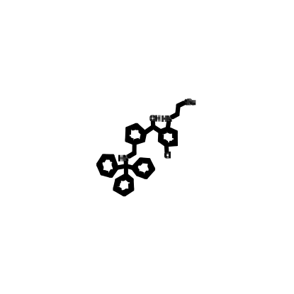 CC(C)(C)CCNc1ccc(Cl)cc1C(O)c1cccc(CNC(c2ccccc2)(c2ccccc2)c2ccccc2)c1